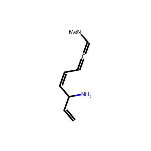 C=CC(N)/C=C\C=C=CNC